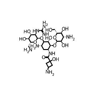 N=C(N)N[C@H]1[C@@H](OC2[C@@H](N)C[C@@H](NC(=O)C3(O)CC(N)C3)[C@H](O[C@H]3O[C@H](CO)[C@@H](O)[C@H](N)[C@H]3O)[C@H]2O)O[C@H](CN)[C@@H](O)[C@@H]1O